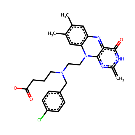 C=c1nc2c(c(=O)[nH]1)=Nc1cc(C)c(C)cc1N2CCN(CCCC(=O)O)Cc1ccc(Cl)cc1